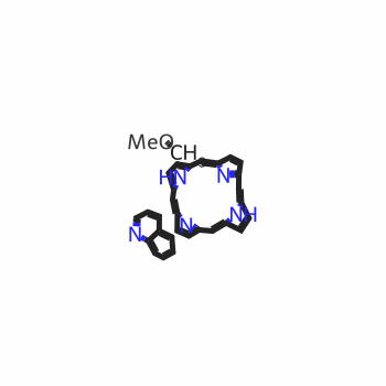 C1=Cc2cc3ccc(cc4nc(cc5ccc(cc1n2)[nH]5)C=C4)[nH]3.COC.c1ccc2ncccc2c1